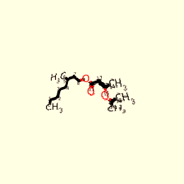 CCCCCC(C)CCOC(=O)/C=C(/C)OC(C)C